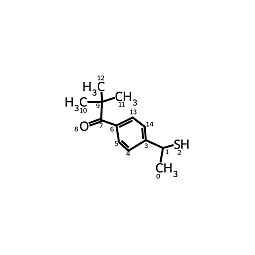 CC(S)c1ccc(C(=O)C(C)(C)C)cc1